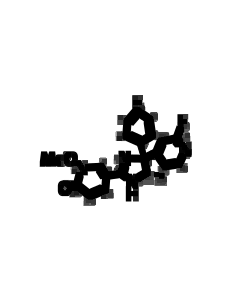 COn1cc(C2=N[C@](c3ccc(F)cc3)(c3ccnc(F)c3)[C@H](C)N2)ccc1=O